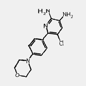 Nc1cc(Cl)c(-c2ccc(N3CCOCC3)cc2)nc1N